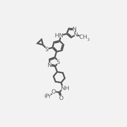 CC(C)OC(=O)NC1CCC(c2ncc(-c3ccc(Nc4cnn(C)c4)cc3SC3CC3)s2)CC1